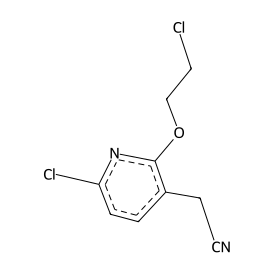 N#CCc1ccc(Cl)nc1OCCCl